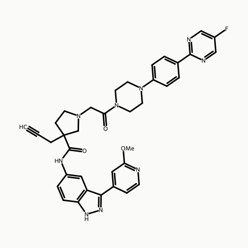 C#CCC1(C(=O)Nc2ccc3[nH]nc(-c4ccnc(OC)c4)c3c2)CCN(CC(=O)N2CCN(c3ccc(-c4ncc(F)cn4)cc3)CC2)C1